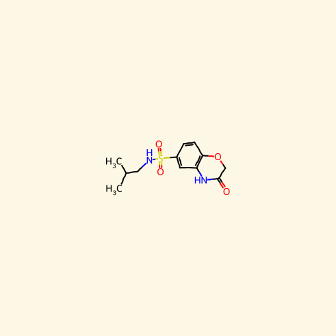 CC(C)CNS(=O)(=O)c1ccc2c(c1)NC(=O)CO2